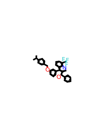 CC(C)c1ccc(COc2cccc(-c3c(C(=O)c4ccccc4)cnc4c(C(F)(F)F)cccc34)c2)cc1